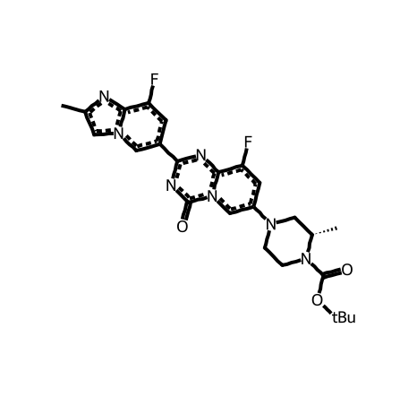 Cc1cn2cc(-c3nc(=O)n4cc(N5CCN(C(=O)OC(C)(C)C)[C@@H](C)C5)cc(F)c4n3)cc(F)c2n1